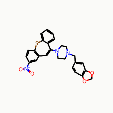 O=[N+]([O-])c1ccc2c(c1)C=C(N1CCN(Cc3ccc4c(c3)OCO4)CC1)c1ccccc1S2